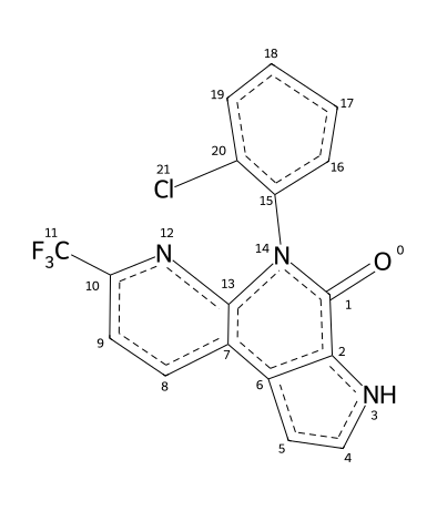 O=c1c2[nH]ccc2c2ccc(C(F)(F)F)nc2n1-c1ccccc1Cl